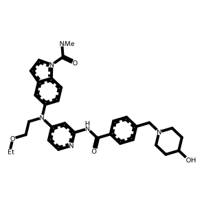 CCOCCN(c1ccnc(NC(=O)c2ccc(CN3CCC(O)CC3)cc2)c1)c1ccc2c(ccn2C(=O)NC)c1